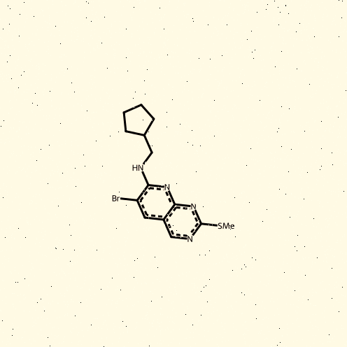 CSc1ncc2cc(Br)c(NCC3CCCC3)nc2n1